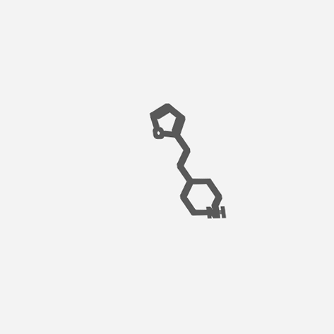 c1coc(CCC2CCNCC2)c1